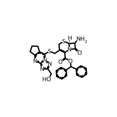 NC1C(=O)N2C(C(=O)OC(c3ccccc3)c3ccccc3)=C(CSc3c4c(nc5nc(CO)nn35)CCC4)CS[C@@H]12